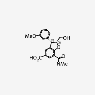 CNC(=O)c1cc(C(=O)O)cc2c1O[C@H](CO)[C@H]2c1cccc(OC)c1